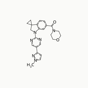 Cn1ccc(-c2cnc(N3CC4(CC4)c4ccc(C(=O)N5CCOCC5)cc43)nc2)n1